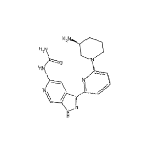 NC(=O)Nc1cc2c(-c3cccc(N4CCC[C@H](N)C4)n3)n[nH]c2cn1